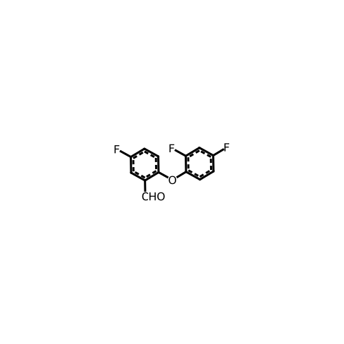 O=Cc1cc(F)ccc1Oc1ccc(F)cc1F